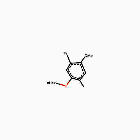 CCCCCCOc1cc(CC)c(OC)cc1C